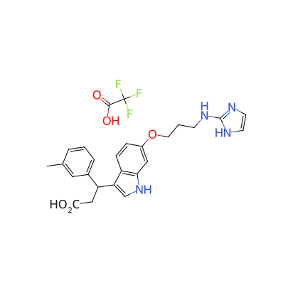 Cc1cccc(C(CC(=O)O)c2c[nH]c3cc(OCCCNc4ncc[nH]4)ccc23)c1.O=C(O)C(F)(F)F